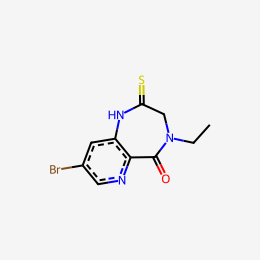 CCN1CC(=S)Nc2cc(Br)cnc2C1=O